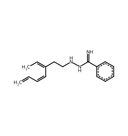 C=C/C=C\C(=C/C)CCNNC(=N)c1ccccc1